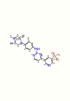 Cc1cc(Nc2nccc(-c3cncc(S(C)(=O)=O)c3)n2)ccc1N1C[C@@H]2C[C@H]1CN2C